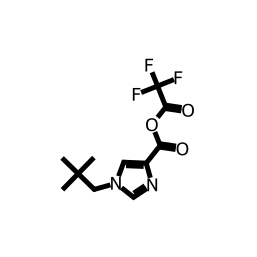 CC(C)(C)Cn1cnc(C(=O)OC(=O)C(F)(F)F)c1